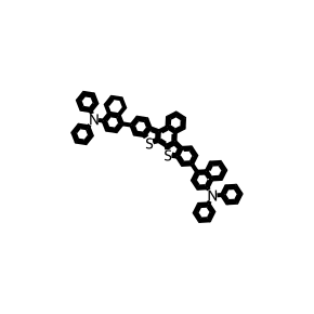 C1=Cc2c(N(c3ccccc3)c3ccccc3)ccc(-c3ccc4c(c3)sc3c5sc6cc(-c7ccc(N(c8ccccc8)c8ccccc8)c8ccccc78)ccc6c5c5ccccc5c43)c2CC1